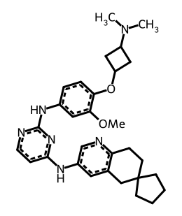 COc1cc(Nc2nccc(Nc3cnc4c(c3)CC3(CCCC3)CC4)n2)ccc1OC1CC(N(C)C)C1